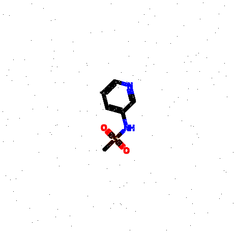 CS(=O)(=O)Nc1c[c]cnc1